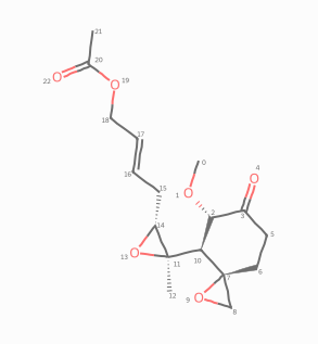 CO[C@@H]1C(=O)CC[C@]2(CO2)[C@H]1[C@@]1(C)O[C@@H]1C/C=C/COC(C)=O